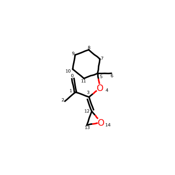 C=C(C)/C(OC1(C)CCCCC1)=C1\CO1